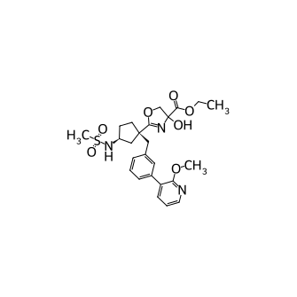 CCOC(=O)C1(O)COC([C@@]2(Cc3cccc(-c4cccnc4OC)c3)CC[C@H](NS(C)(=O)=O)C2)=N1